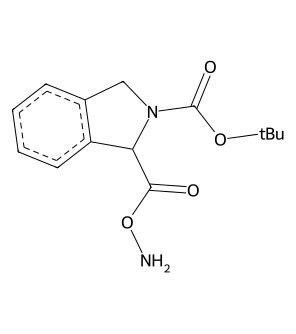 CC(C)(C)OC(=O)N1Cc2ccccc2C1C(=O)ON